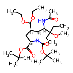 CCOC(OCC)[C@@H]1C[C@H](C(=O)OC(C)(C)C)N(C(=O)OC(C)(C)C)[C@H]1[C@@H](NC(C)=O)C(CC)(CC)OC